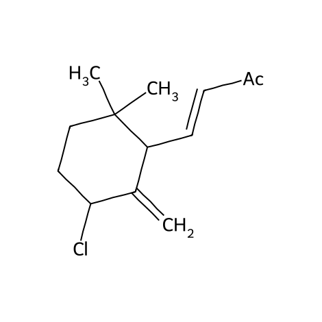 C=C1C(Cl)CCC(C)(C)C1C=CC(C)=O